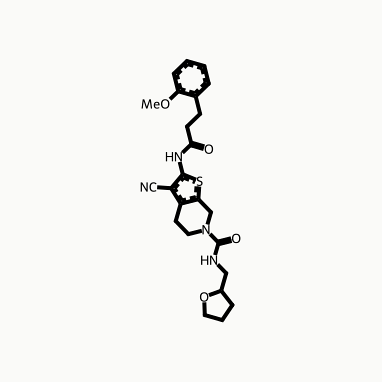 COc1ccccc1CCC(=O)Nc1sc2c(c1C#N)CCN(C(=O)NCC1CCCO1)C2